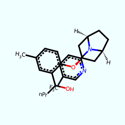 CCCC(O)c1cc(C)ccc1O[C@H]1C[C@H]2CC[C@@H](C1)N2c1ccc(C(F)(F)F)cn1